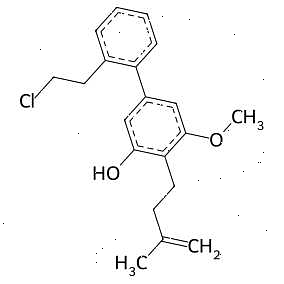 C=C(C)CCc1c(O)cc(-c2ccccc2CCCl)cc1OC